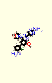 COc1cc(-c2cccc(N)c2F)cc2c(N3CCOCC3)nc(-c3cnc(N)nc3)nc12